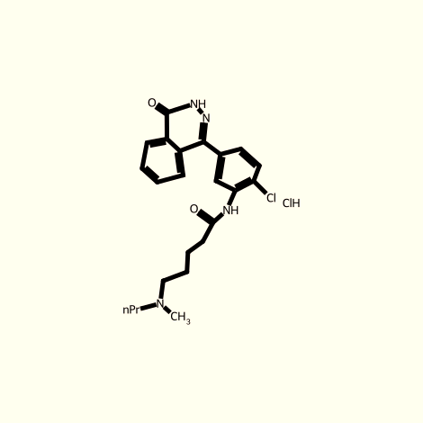 CCCN(C)CCCCC(=O)Nc1cc(-c2n[nH]c(=O)c3ccccc23)ccc1Cl.Cl